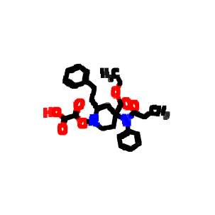 CCOC(=O)C1(N(C(=O)CC)c2ccccc2)CCN(OC(=O)C(=O)O)C(CCc2ccccc2)C1